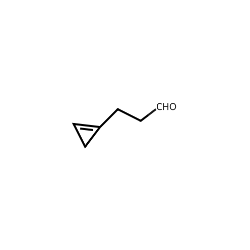 O=CCCC1=CC1